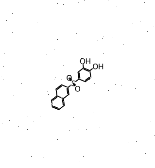 O=S(=O)(c1ccc(O)c(O)c1)c1ccc2ccccc2c1